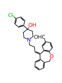 O=Cc1ccc2c(c1)C(=CCCN1CCC(O)(c3ccc(Cl)cc3)CC1)c1ccccc1CO2